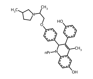 CCCN1c2ccc(O)cc2C(C)=C(c2cccc(O)c2)C1c1ccc(OCC(C)N2CCC(C)C2)cc1